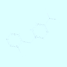 Cc1ccccc1Cc1ccc(C(C)O)cc1